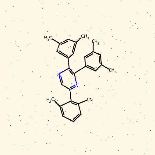 Cc1cc(C)cc(-c2ncc(-c3c(C)cccc3C#N)nc2-c2cc(C)cc(C)c2)c1